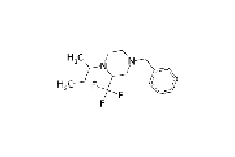 CCC(C)N1CCN(Cc2ccccc2)CC1C(F)(F)F